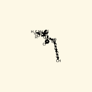 C#CCOCCOCCOCCOCCS(=O)(=O)CCCn1c(CN2C(=O)C3(CCN(C(=O)[C@@H](N)[C@@H](C)O)CC3)c3ccncc32)nc2cc(Cl)ccc21